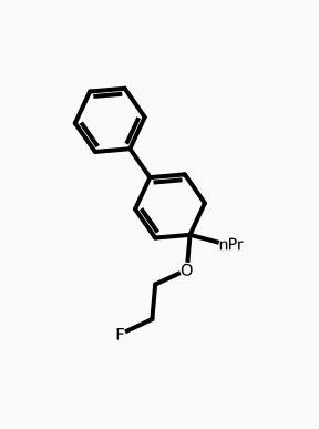 CCCC1(OCCF)C=CC(c2ccccc2)=CC1